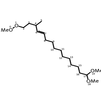 COOCCC(C)C=CCCCCCCCCCC(OC)OC